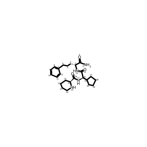 NC(=O)[C@@H](CCCc1ccccc1)NC(=O)[C@H](NC(=O)[C@@H]1CCCCN1)C1CCCC1